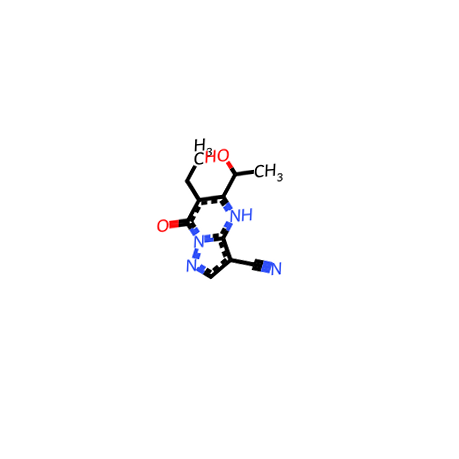 CCc1c(C(C)O)[nH]c2c(C#N)cnn2c1=O